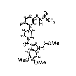 COCCn1cc(C(=O)N2CCC(c3cc(CNC(=O)C(F)(F)F)ccc3F)CC2)c2cc(OC)c(OC)cc21